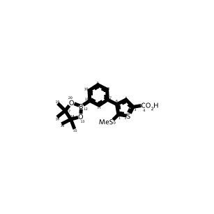 CSc1sc(C(=O)O)cc1-c1cccc(B2OC(C)(C)C(C)(C)O2)c1